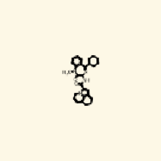 CN1C(=O)C(NC(=O)c2cc3c4n2CC=CC=4CCC=3)N=C(C2CCCCC2)c2ccccc21